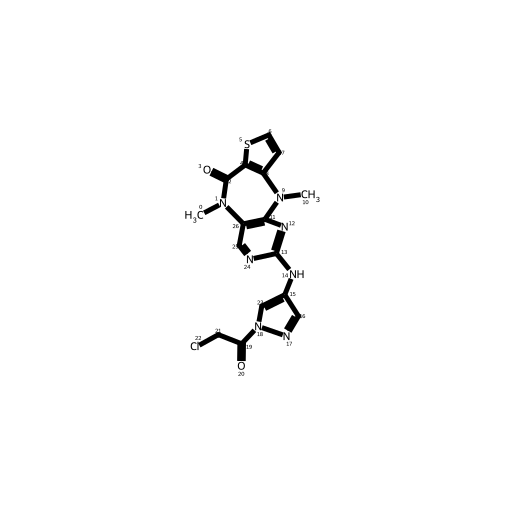 CN1C(=O)c2sccc2N(C)c2nc(Nc3cnn(C(=O)CCl)c3)ncc21